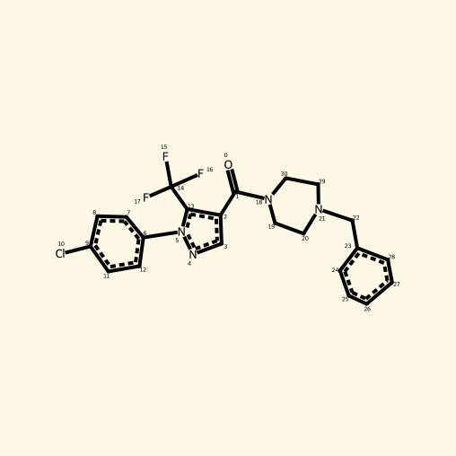 O=C(c1cnn(-c2ccc(Cl)cc2)c1C(F)(F)F)N1CCN(Cc2ccccc2)CC1